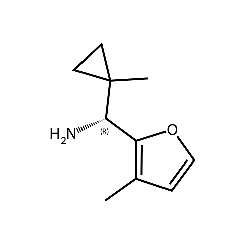 Cc1ccoc1[C@H](N)C1(C)CC1